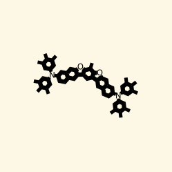 Cc1cc(N(c2cc(C)c(C)c(C)c2)c2ccc3cc4c(cc3c2)oc2c(C)c3oc5cc6cc(N(c7cc(C)c(C)c(C)c7)c7cc(C)c(C)c(C)c7)ccc6cc5c3cc24)cc(C)c1C